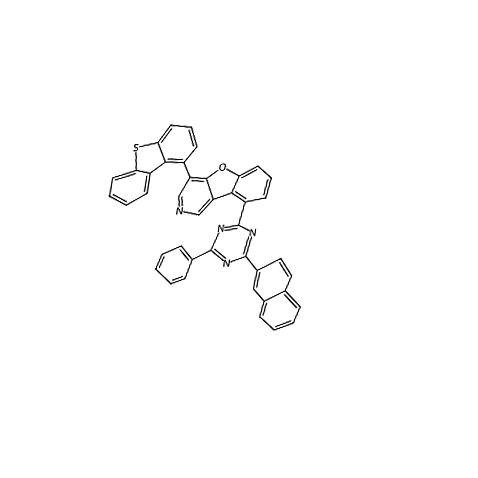 c1ccc(-c2nc(-c3ccc4ccccc4c3)nc(-c3cccc4oc5c(-c6cccc7sc8ccccc8c67)cncc5c34)n2)cc1